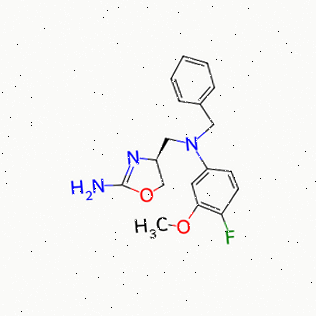 COc1cc(N(Cc2ccccc2)C[C@H]2COC(N)=N2)ccc1F